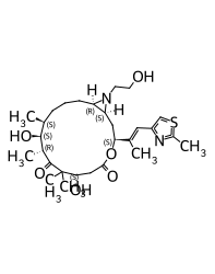 CC(=Cc1csc(C)n1)[C@@H]1C[C@H]2[C@@H](CCC[C@H](C)[C@H](O)[C@@H](C)C(=O)C(C)(C)[C@@H](O)CC(=O)O1)N2CCO